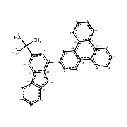 CC(C)(C)c1nc(-c2ccc3c4ccccc4c4ccccc4c3c2)c2oc3ccccc3c2n1